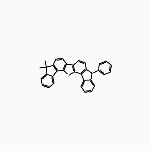 CC1(C)c2ccccc2-c2c1ccc1c2oc2c1ccc1c2c2ccccc2n1-c1ccccc1